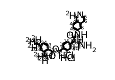 Cl.Cl.[2H]c1nccc2cc(NC(=O)[C@@H](c3ccc(COC(=O)c4ccc(C([2H])([2H])[2H])cc4C([2H])([2H])[2H])cc3)C([2H])([2H])N)ccc12